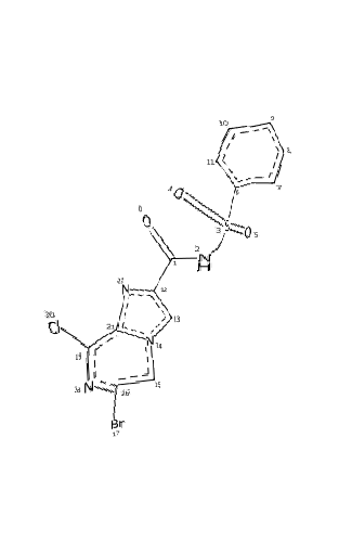 O=C(NS(=O)(=O)c1ccccc1)c1cn2cc(Br)nc(Cl)c2n1